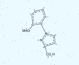 COc1ccccc1-n1ccc(C(=O)O)n1